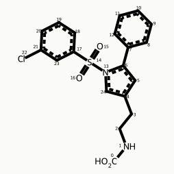 O=C(O)NCCc1cc(-c2ccccc2)n(S(=O)(=O)c2cccc(Cl)c2)c1